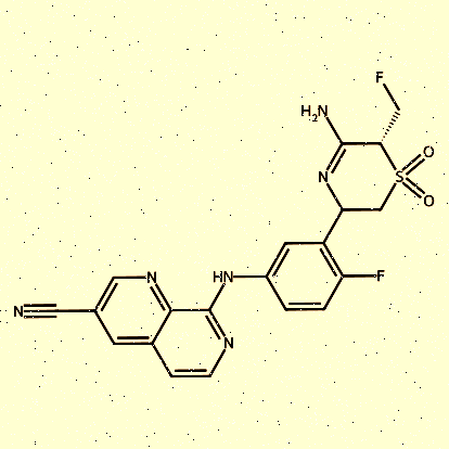 N#Cc1cnc2c(Nc3ccc(F)c(C4CS(=O)(=O)[C@@H](CF)C(N)=N4)c3)nccc2c1